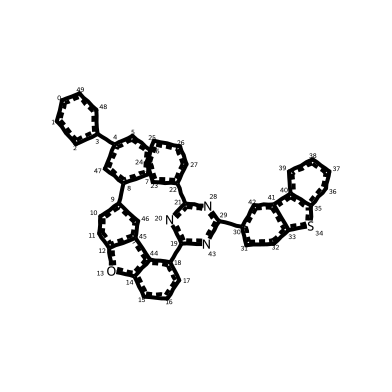 c1ccc(-c2cccc(-c3ccc4oc5cccc(-c6nc(-c7ccccc7)nc(-c7ccc8sc9ccccc9c8c7)n6)c5c4c3)c2)cc1